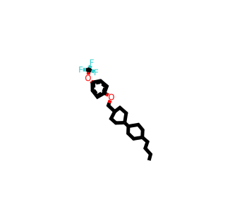 CCCCC1CCC(C2CCC(COc3ccc(OC(F)(F)F)cc3)CC2)CC1